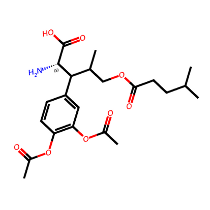 CC(=O)Oc1ccc(C(C(C)COC(=O)CCC(C)C)[C@H](N)C(=O)O)cc1OC(C)=O